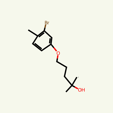 [CH2]C(C)(O)CCCOc1ccc(C)c(Br)c1